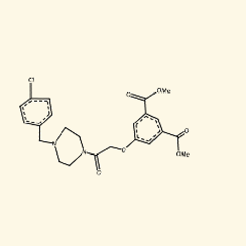 COC(=O)c1cc(OCC(=O)N2CCN(Cc3ccc(Cl)cc3)CC2)cc(C(=O)OC)c1